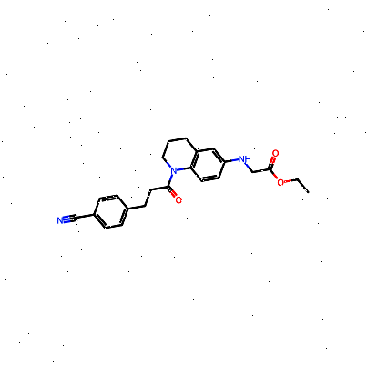 CCOC(=O)CNc1ccc2c(c1)CCCN2C(=O)CCc1ccc(C#N)cc1